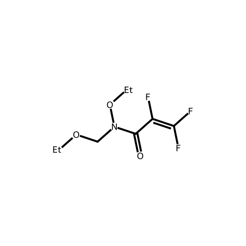 CCOCN(OCC)C(=O)C(F)=C(F)F